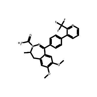 COc1cc2c(cc1OC)C(c1ccc(-c3cccnc3C(F)(F)F)cc1)=NN(C(=O)P)C(C)C2